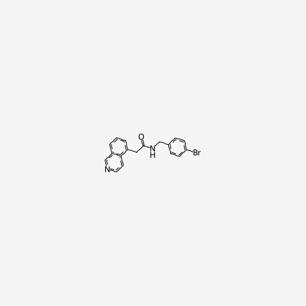 O=C(Cc1cccc2cnccc12)NCc1ccc(Br)cc1